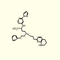 O=C(O)[C@H](CCN(CCCCc1ccc2c(n1)NCCC2)CCOc1ccccc1)Nc1cc(-n2cccn2)ncn1